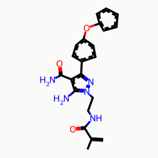 C=C(C)C(=O)NCCn1nc(-c2ccc(Oc3ccccc3)cc2)c(C(N)=O)c1N